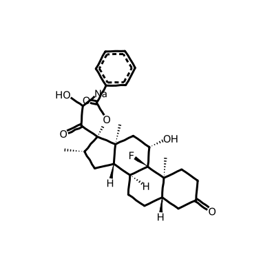 C[C@H]1C[C@H]2[C@@H]3CC[C@H]4CC(=O)CC[C@]4(C)[C@@]3(F)[C@@H](O)C[C@]2(C)[C@]1(OC(=O)c1ccccc1)C(=O)[CH](O)[Na]